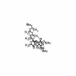 CCC(C)CC(C)CC(C)CC(C)C=C(C)C=C(CC(C)C(=O)OC(C(=O)O)C(C(=O)OCOC(C)=O)C(O)C(=O)OCOC(C)=O)C(=O)O